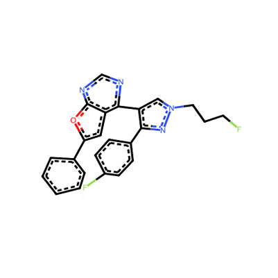 FCCCn1cc(-c2ncnc3oc(-c4ccccc4)cc23)c(-c2ccc(F)cc2)n1